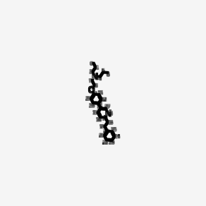 CCCN(CCC)CCOc1ccc(-c2ccc(CCc3ccccc3)nc2)cc1